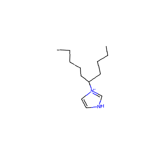 CCCCCC(CCCC)[n+]1cc[nH]c1